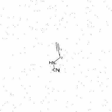 C#CCNC#N